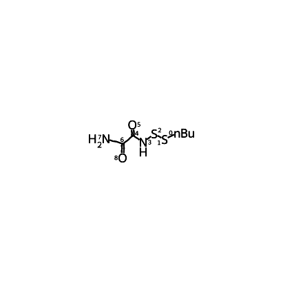 CCCCSSNC(=O)C(N)=O